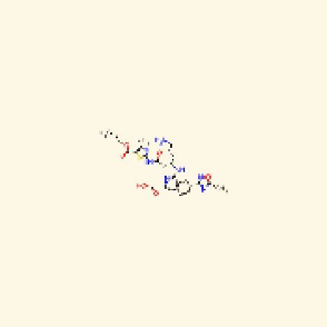 CCCOC(=O)c1sc(NC(=O)C[C@H](CCCN)Nc2nccc3ccc(-c4noc(C)n4)cc23)nc1C.O=CO